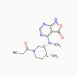 C[C@@H]1CCN(C(=O)CC#N)C[C@@H]1N(C)c1ncnc2[nH]oc(=O)c12